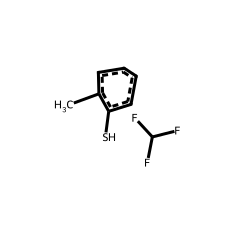 Cc1ccccc1S.FC(F)F